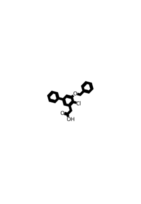 O=C(O)Cc1cc(-c2ccccc2)cc(OCc2ccccc2)c1Cl